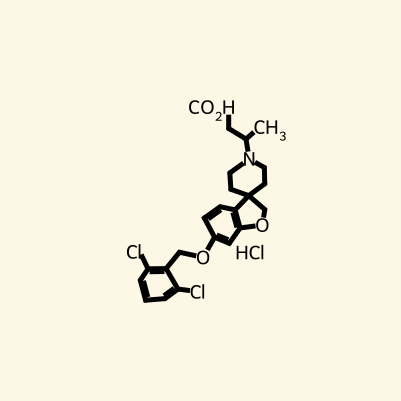 CC(CC(=O)O)N1CCC2(CC1)COc1cc(OCc3c(Cl)cccc3Cl)ccc12.Cl